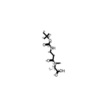 C[C@@H](C(=O)O)N(C)C(=O)CCNC(=O)OC(C)(C)C